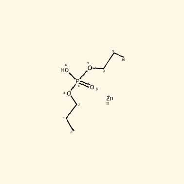 CCCOP(=O)(O)OCCC.[Zn]